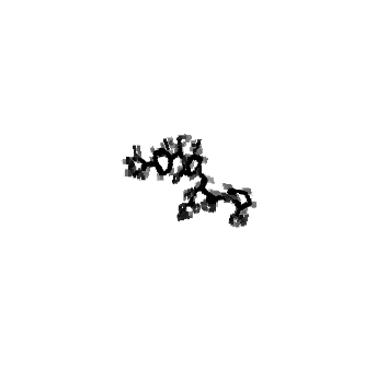 CC(c1ccc(-c2nnn[nH]2)cc1)N1C(=O)C2C[C@H]1CN2CC(NC(=O)OC(C)(C)C)C(=O)N1CCCC1C#N